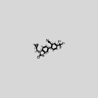 N#Cc1cc(C(F)(F)F)ccc1-c1ccc2c(c1)sc(=O)n2CC1CC1